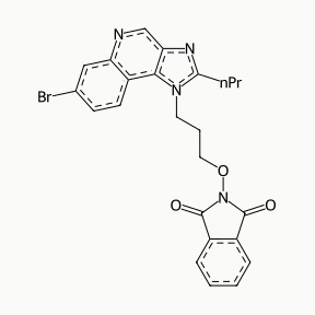 CCCc1nc2cnc3cc(Br)ccc3c2n1CCCON1C(=O)c2ccccc2C1=O